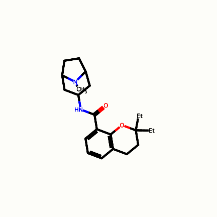 CCC1(CC)CCc2cccc(C(=O)NC3CC4CCC(C3)N4C)c2O1